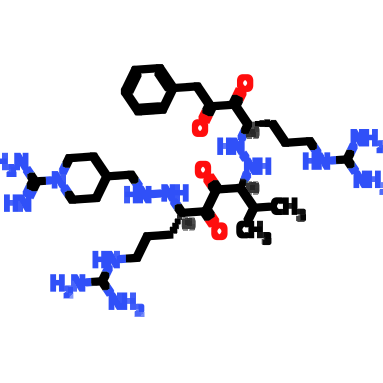 CC(C)[C@H](NN[C@@H](CCCNC(N)N)C(=O)C(=O)Cc1ccccc1)C(=O)C(=O)[C@H](CCCNC(N)N)NNCC1CCN(C(=N)N)CC1